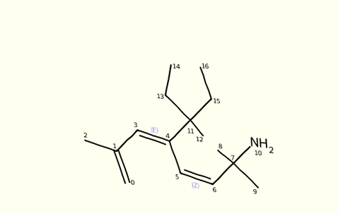 C=C(C)/C=C(\C=C/C(C)(C)N)C(C)(CC)CC